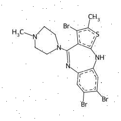 Cc1sc2c(c1Br)C(N1CCN(C)CC1)=Nc1cc(Br)c(Br)cc1N2